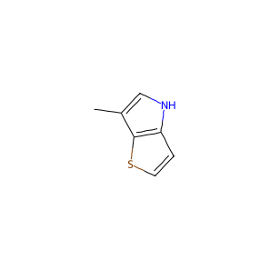 Cc1c[nH]c2ccsc12